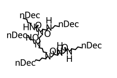 CCCCCCCCCCCCCCNC(=O)CNCC(O)CN(CCCCCCCCCCCCCC)CCCCN(CCCCCCCCCCCCCC)CC(O)CN(CC(=O)NCCCCCCCCCCCCC)CC(=O)NCCCCCCCCCCCCCC